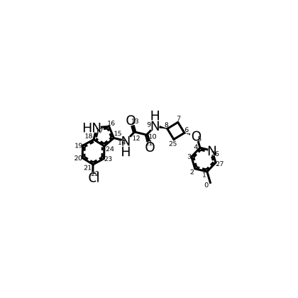 Cc1ccc(O[C@H]2C[C@H](NC(=O)C(=O)Nc3c[nH]c4ccc(Cl)cc34)C2)nc1